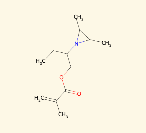 C=C(C)C(=O)OCC(CC)N1C(C)C1C